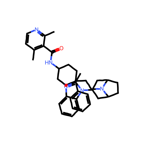 Cc1ccnc(C)c1C(=O)NC1CCC(CCN2C3CCC2CC(n2c(C)nc4ccccc42)C3)(c2ccccc2)CC1